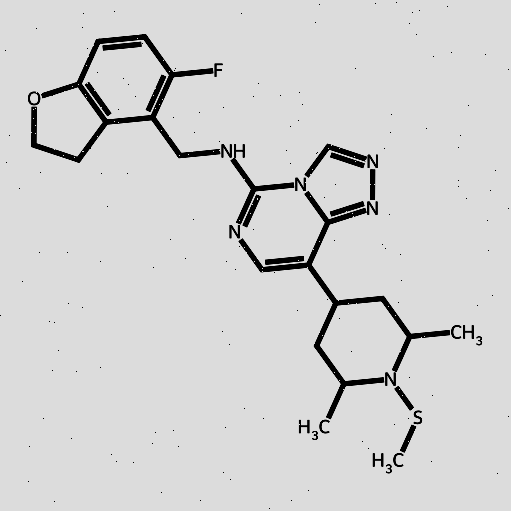 CSN1C(C)CC(c2cnc(NCc3c(F)ccc4c3CCO4)n3cnnc23)CC1C